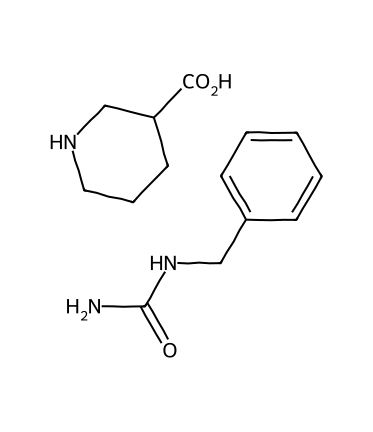 NC(=O)NCc1ccccc1.O=C(O)C1CCCNC1